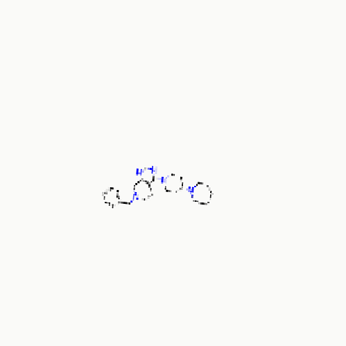 c1ccc(CN2CCc3c(ncnc3N3CCC(N4CCCCCC4)CC3)C2)cc1